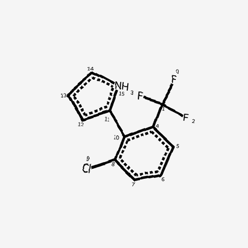 FC(F)(F)c1cccc(Cl)c1-c1ccc[nH]1